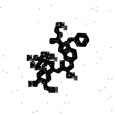 CCOC(=O)c1cc2cc(C[C@@H](C)NC[C@H](O[Si](C)(C)C(C)(C)C)c3ccc(O)c(CO)c3)ccc2n1Cc1ccccc1